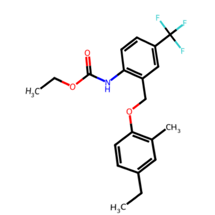 CCOC(=O)Nc1ccc(C(F)(F)F)cc1COc1ccc(CC)cc1C